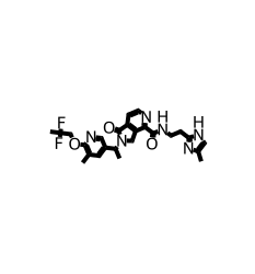 Cc1c[nH]c(CCNC(=O)c2nccc3c2CN(C(C)c2cnc(OCC(C)(F)F)c(C)c2)C3=O)n1